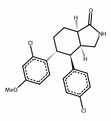 COc1ccc([C@@H]2CC[C@H]3C(=O)NC[C@H]3[C@H]2c2ccc(Cl)cc2)c(Cl)c1